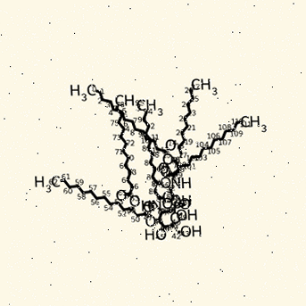 CCCCCCCCCCCCCC(=O)O[C@H](CCCCCCCCCCC)CC(=O)NCCO[C@]1(P(=O)(O)O)O[C@H](CO)[C@H](O)[C@H](OC(=O)C[C@@H](CCCCCCCCCCC)OC(=O)CCCCCCCCCCCCC)[C@H]1NC(=O)C[C@@H](CCCCCCCCCCC)OC(=O)CCCCCCCCCCCCC